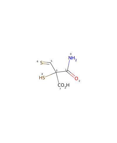 NC(=O)C(S)(C=S)C(=O)O